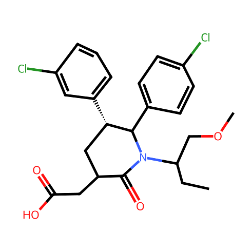 CCC(COC)N1C(=O)C(CC(=O)O)C[C@H](c2cccc(Cl)c2)C1c1ccc(Cl)cc1